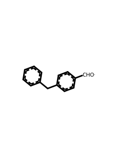 O=[C]c1ccc(Cc2ccccc2)cc1